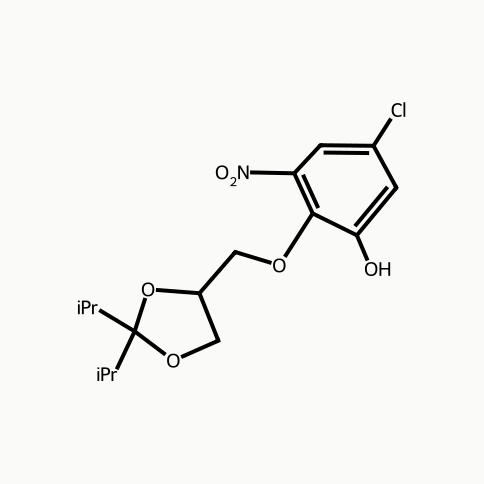 CC(C)C1(C(C)C)OCC(COc2c(O)cc(Cl)cc2[N+](=O)[O-])O1